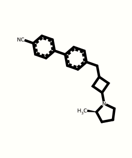 C[C@@H]1CCCN1C1CC(Cc2ccc(-c3ccc(C#N)cc3)cc2)C1